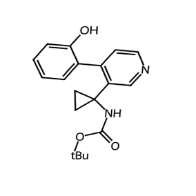 CC(C)(C)OC(=O)NC1(c2cnccc2-c2ccccc2O)CC1